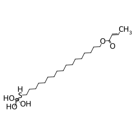 CC=CC(=O)OCCCCCCCCCCCCCCCCC[SH]=P(O)(O)O